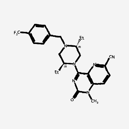 CC[C@@H]1CN(c2nc(=O)n(C)c3ccc(C#N)nc23)[C@@H](CC)CN1Cc1ccc(C(F)(F)F)cc1